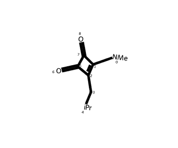 CNc1c(CC(C)C)c(=O)c1=O